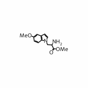 COC(=O)C(N)Cn1ccc2cc(OC)ccc21